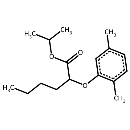 CCCCC(Oc1cc(C)ccc1C)C(=O)OC(C)C